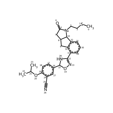 CSCCN1C(=O)CC2Cc3c(C4=NOC(c5ccc(OC(C)C)c(C#N)c5)N4)cccc3C21